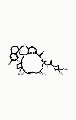 CO[C@H]1/C=C/C[C@H](C)CS(=O)(NC(=O)N2CC(OC)(C(F)(F)F)C2)=NC(=O)c2ccc3c(c2)N(C[C@@H]2CC[C@H]21)C[C@@]1(CCCc2cc(Cl)ccc21)CO3